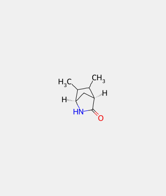 CC1C(C)[C@H]2C[C@@H]1C(=O)N2